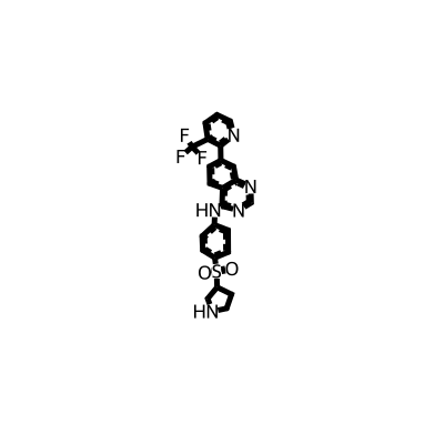 O=S(=O)(c1ccc(Nc2ncnc3cc(-c4ncccc4C(F)(F)F)ccc23)cc1)C1CCNC1